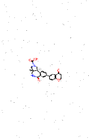 O=C1CCOc2ccc(-c3ccc4c(c3)C(=O)NC[C@@H]3CN(C(=O)O)C[C@@H]43)cc21